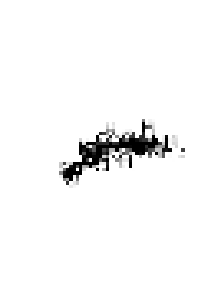 CS(=O)(=O)c1ccc(-c2cc(Cl)c(C(=O)N[C@@H](CNC(=O)CNC(=O)c3cccc(NC(=N)N)c3)C(=O)O)c(Cl)c2)cc1